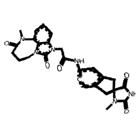 CN1C(=O)CCCn2c(=O)n(CC(=O)Nc3ccc4c(c3)CC3(C4)C(=O)NC(=O)N3C)c3cccc1c32